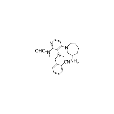 CN(C=O)c1nccc(N2CCCCC(N)C2)c1N(C)Cc1ccccc1C#N